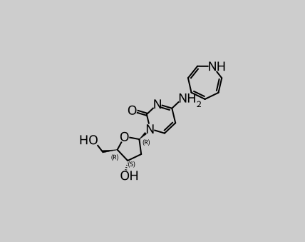 C1=CC=CNC=C1.Nc1ccn([C@H]2C[C@H](O)[C@@H](CO)O2)c(=O)n1